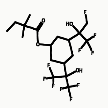 CCC(C)(C)C(=O)OC1CC(C(O)(CF)C(F)(F)F)CC(C(O)(C(F)(F)F)C(F)(F)F)C1